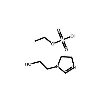 CCOS(=O)(=O)O.OCCN1C=NCC1